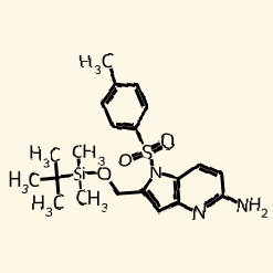 Cc1ccc(S(=O)(=O)n2c(CO[Si](C)(C)C(C)(C)C)cc3nc(N)ccc32)cc1